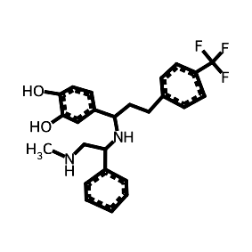 CNCC(NC(CCc1ccc(C(F)(F)F)cc1)c1ccc(O)c(O)c1)c1ccccc1